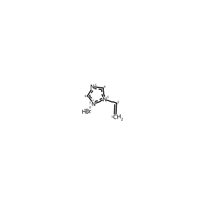 Br.C=Cn1cncn1